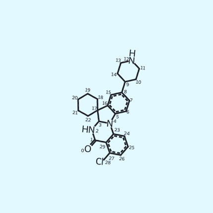 O=C1NC2N(c3ccc(C4CCNCC4)cc3C23CCCCC3)c2cccc(Cl)c21